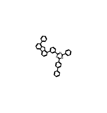 c1ccc(-c2ccc(-c3nc(-c4ccccc4)nc(-c4cccc(-c5cccc6c5Cc5c(-c7ccccc7)cccc5-6)c4)n3)cc2)cc1